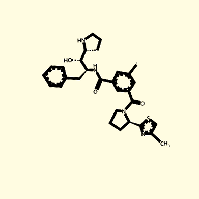 Cc1csc([C@H]2CCCN2C(=O)c2cc(I)cc(C(=O)N[C@@H](Cc3ccccc3)[C@H](O)[C@H]3CCCN3)c2)n1